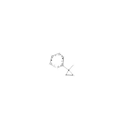 CC1(c2ccccn2)CC1